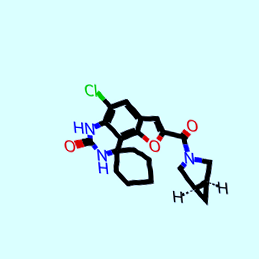 O=C1Nc2c(Cl)cc3cc(C(=O)N4C[C@H]5C[C@H]5C4)oc3c2C2(CCCCC2)N1